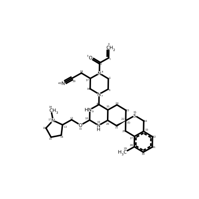 C=CC(=O)N1CCN(C2NC(OCC3CCCN3C)NC3C[C@]4(CCC32)Cc2c(C)cccc2CS4)CC1CC#N